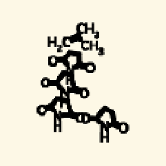 C=C(C)C.O=C1CCC(=O)N1.O=C1CCC(=O)N1.O=C1CCC(=O)N1.O=C1CCC(=O)N1